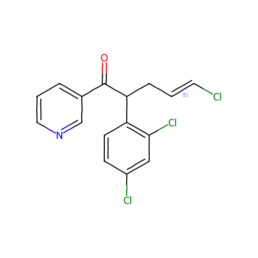 O=C(c1cccnc1)C(C/C=C/Cl)c1ccc(Cl)cc1Cl